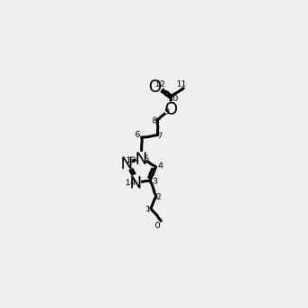 CCCc1cn(CCCOC(C)=O)nn1